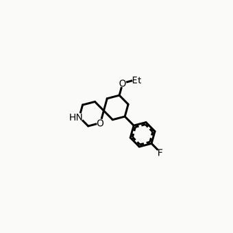 CCOC1CC(c2ccc(F)cc2)CC2(CCNCO2)C1